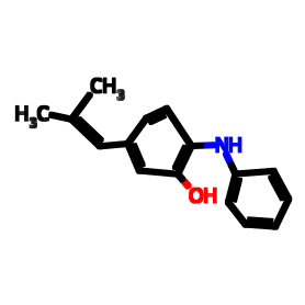 CC(C)=Cc1ccc(Nc2ccccc2)c(O)c1